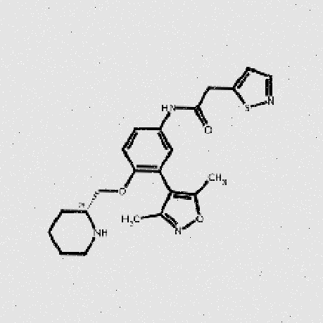 Cc1noc(C)c1-c1cc(NC(=O)Cc2ccns2)ccc1OC[C@H]1CCCCN1